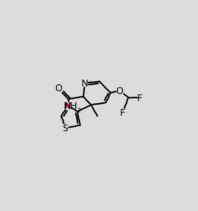 CC1(c2cscn2)C=C(OC(F)F)C=NC1C(N)=O